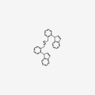 C1=CC(c2ccccc2CSCc2ccccc2C2C=Cc3ccccc32)c2ccccc21